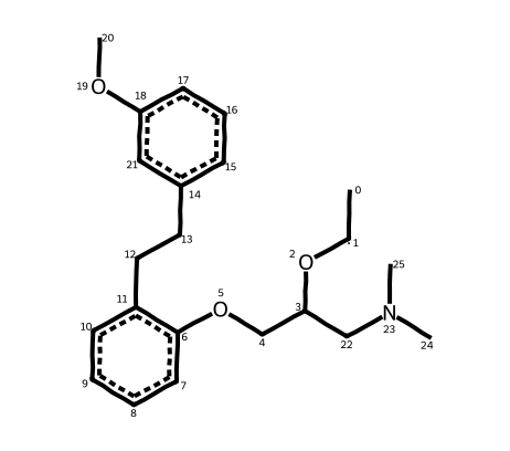 C[CH]OC(COc1ccccc1CCc1cccc(OC)c1)CN(C)C